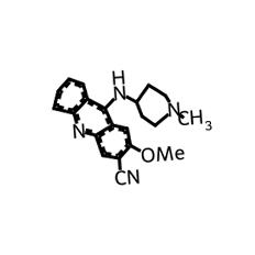 COc1cc2c(NC3CCN(C)CC3)c3ccccc3nc2cc1C#N